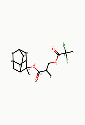 CC(COC(=O)C(C)(F)F)C(=O)OC1(C)C2CC3CC(C2)CC1C3